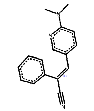 CN(C)c1ccc(/C=C(/C#N)c2ccccc2)cn1